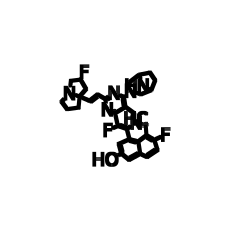 C#Cc1c(F)ccc2cc(O)cc(-c3ncc4c(N5CC6CCC(C5)N6)nc(/C=C/C56CCCN5CC(F)C6)nc4c3F)c12